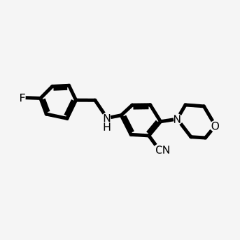 N#Cc1cc(NCc2ccc(F)cc2)ccc1N1CCOCC1